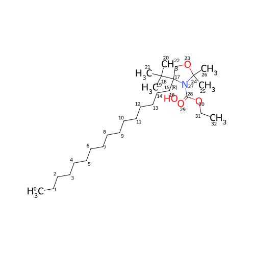 CCCCCCCCCCCCCCC[C@@H](O)C1(C(C)(C)C)COC(C)(C)N1C(=O)OCC